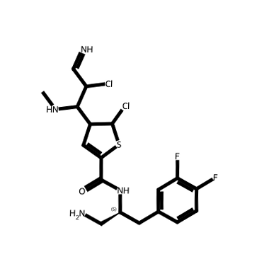 CNC(C(Cl)C=N)C1C=C(C(=O)N[C@H](CN)Cc2ccc(F)c(F)c2)SC1Cl